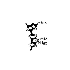 CCCCCCc1cc2c(C)sc(-c3nc4c(s3)-c3sc(C)nc3[Si]4(CCCCCC)CCCCCC)c2s1